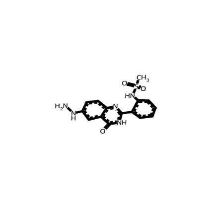 CS(=O)(=O)Nc1ccccc1-c1nc2ccc(NN)cc2c(=O)[nH]1